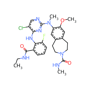 CCNC(=O)c1cccc(F)c1Nc1nc(N(C)c2cc3c(cc2OC)CCN(C(=O)NC)CC3)ncc1Cl